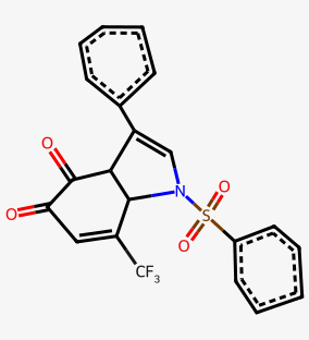 O=C1C=C(C(F)(F)F)C2C(C1=O)C(c1ccccc1)=CN2S(=O)(=O)c1ccccc1